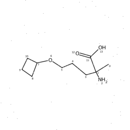 CC(N)(CCCOC1CCC1)C(=O)O